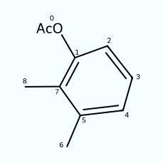 CC(=O)Oc1cccc(C)c1C